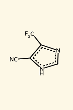 N#Cc1[nH]cnc1C(F)(F)F